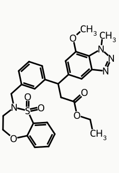 CCOC(=O)CC(c1cccc(CN2CCOc3ccccc3S2(=O)=O)c1)c1cc(OC)c2c(c1)nnn2C